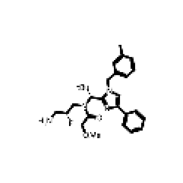 COCC(=O)N(C[C@H](F)CN)[C@@H](c1nc(-c2ccccc2)cn1Cc1cccc(C)c1)C(C)(C)C